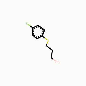 BCCCSc1ccc(F)cc1